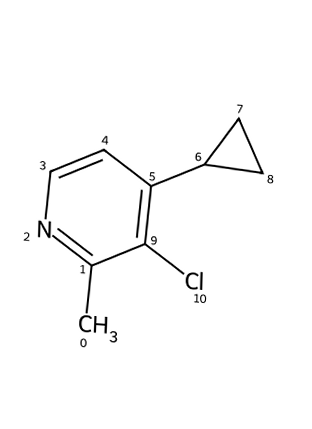 Cc1nccc(C2CC2)c1Cl